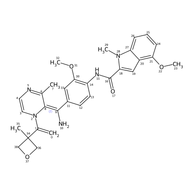 C=C(N1C=CN=C(C)/C1=C(/N)c1ccc(NC(=O)c2cc3c(OC)cccc3n2C)c(OC)c1)C1(C)COC1